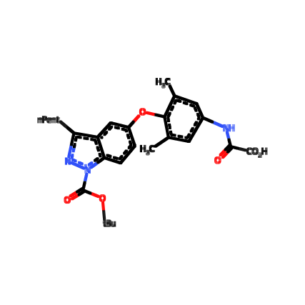 CCCCCc1nn(C(=O)OC(C)(C)C)c2ccc(Oc3c(C)cc(NC(=O)C(=O)O)cc3C)cc12